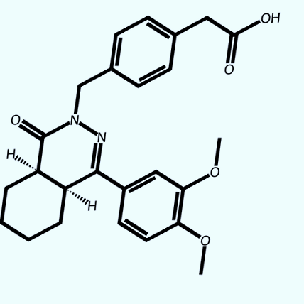 COc1ccc(C2=NN(Cc3ccc(CC(=O)O)cc3)C(=O)[C@@H]3CCCC[C@H]23)cc1OC